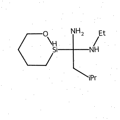 CCNC(N)(CC(C)C)[SiH]1CCCCO1